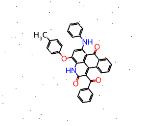 Cc1ccc(Oc2cc(Nc3ccccc3)c3c4c(c(C(=O)c5ccccc5)c(=O)[nH]c24)-c2ccccc2C3=O)cc1